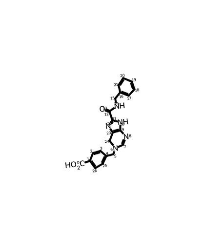 O=C(O)c1ccc(CN2C=Nc3[nH]c(C(=O)NCc4ccccc4)nc3C2)cc1